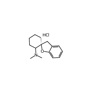 CN(C)C1CCCC[C@@]12Cc1ccccc1O2.Cl